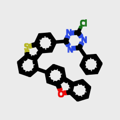 Clc1nc(-c2ccccc2)nc(-c2ccc3sc4cccc(-c5ccc6c(c5)oc5ccccc56)c4c3c2)n1